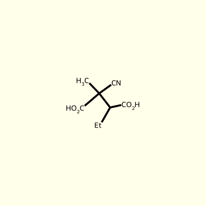 CCC(C(=O)O)C(C)(C#N)C(=O)O